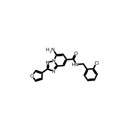 Nc1cc(C(=O)NCc2ccccc2Cl)cc2nc(-c3ccoc3)nn12